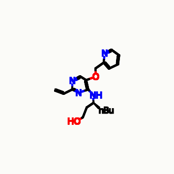 C=Cc1ncc(OCc2ccccn2)c(N[C@H](CCO)CCCC)n1